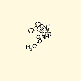 C=CCOC(=O)NOC(=O)[C@@H]1CCCN1C(=O)OCC1c2ccccc2-c2ccccc21